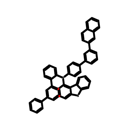 c1ccc(-c2cccc(-c3ccccc3N(c3ccc(-c4cccc(-c5ccc6ccccc6c5)c4)cc3)c3cccc4sc5ccccc5c34)c2)cc1